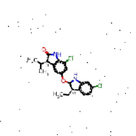 CC[C@@H]1c2ccc(Cl)cc2NC1Oc1cc(Cl)c2c(c1)[C@@H](C(C)C)C(=O)N2